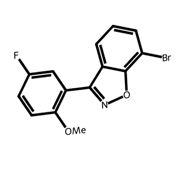 COc1ccc(F)cc1-c1noc2c(Br)cccc12